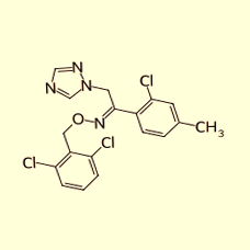 Cc1ccc(C(Cn2cncn2)=NOCc2c(Cl)cccc2Cl)c(Cl)c1